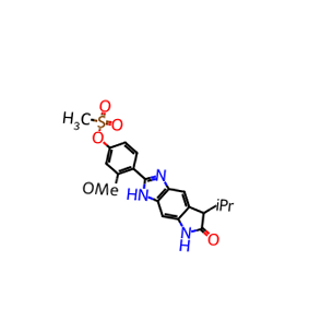 COc1cc(OS(C)(=O)=O)ccc1-c1nc2cc3c(cc2[nH]1)NC(=O)C3C(C)C